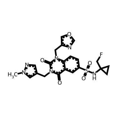 Cn1cc(Cn2c(=O)c3cc(S(=O)(=O)NC4(CF)CC4)ccc3n(Cc3cocn3)c2=O)cn1